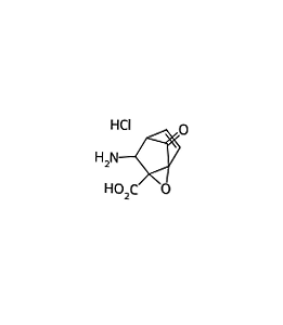 Cl.NC1C2C=CC3(OC13C(=O)O)C2=O